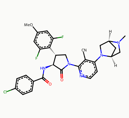 COc1cc(F)c([C@@H]2CN(c3nccc(N4C[C@@H]5C[C@H]4CN5C)c3C#N)C(=O)[C@H]2NC(=O)c2ccc(Cl)cc2)c(F)c1